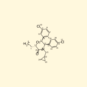 [CH2]C[C@@H]1O[C@@H](c2cccc(Cl)c2)[C@@H](c2ccc(Cl)cc2)N(CC2CC2)C1=O